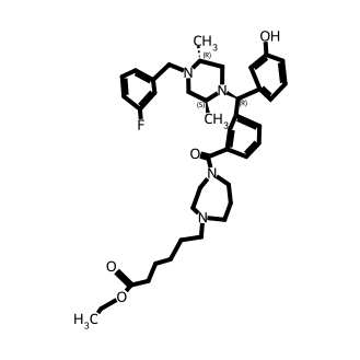 CCOC(=O)CCCCCN1CCCN(C(=O)c2cccc([C@H](c3cccc(O)c3)N3C[C@@H](C)N(Cc4cccc(F)c4)C[C@@H]3C)c2)CC1